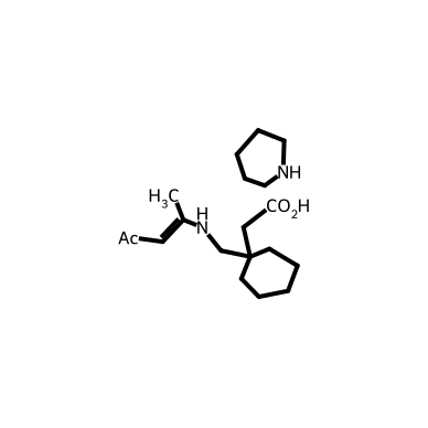 C1CCNCC1.CC(=O)C=C(C)NCC1(CC(=O)O)CCCCC1